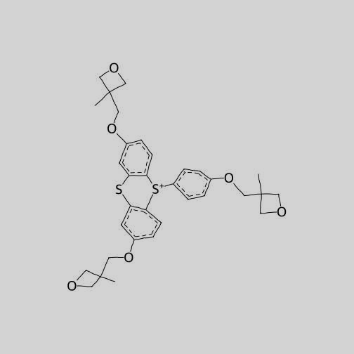 CC1(COc2ccc([S+]3c4ccc(OCC5(C)COC5)cc4Sc4cc(OCC5(C)COC5)ccc43)cc2)COC1